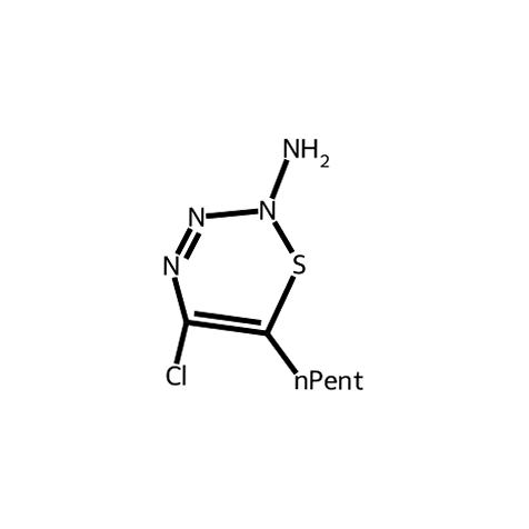 CCCCCC1=C(Cl)N=NN(N)S1